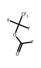 O=C(F)OC(F)(F)C(F)(F)F